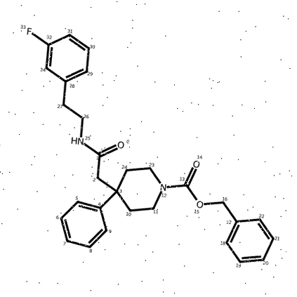 O=C(CC1(c2ccccc2)CCN(C(=O)OCc2ccccc2)CC1)NCCc1cccc(F)c1